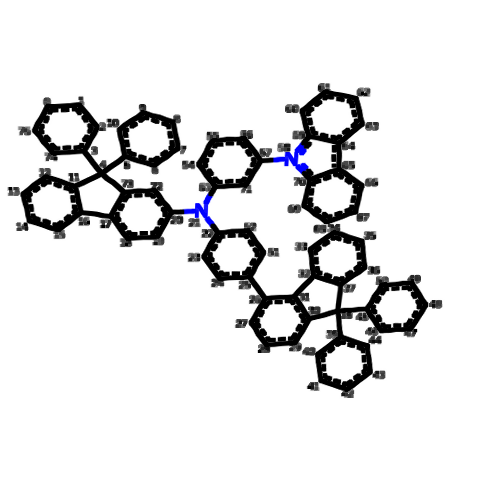 c1ccc(C2(c3ccccc3)c3ccccc3-c3ccc(N(c4ccc(-c5cccc6c5-c5ccccc5C6(c5ccccc5)c5ccccc5)cc4)c4cccc(-n5c6ccccc6c6ccccc65)c4)cc32)cc1